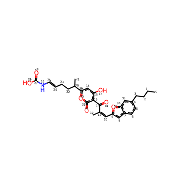 CCCCc1ccc2cc(C=C(C)C(=O)c3c(O)cc(C(C)CCC=CNC(=O)O)oc3=O)oc2c1